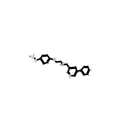 COc1ccc(OCCNCc2cncc(-c3ccccc3)c2)cc1